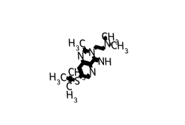 Cc1nc2cc(SC(C)(C)C)cnc2c(=N)n1CCN(C)C